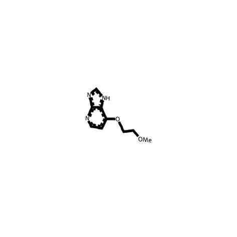 COCCOc1ccnc2n[c][nH]c12